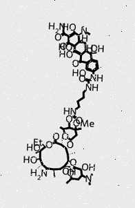 CC[C@H]1OC(=O)[C@H](C)[C@@H](OC2CC(C)(OC)C(OC(=O)NCCCCNC(=O)Nc3ccc4c(c3O)C(=O)C3=C(O)[C@]5(O)C(=O)C(C(N)=O)=C(O)[C@@H](N(C)C)[C@@H]5C[C@@H]3[C@]4(C)O)C(C)O2)[C@H](C)[C@@H](OC2OC(C)CC(N(C)C)C2O)[C@](C)(O)C[C@@H](C)[C@H](N)[C@H](C)[C@@H](O)[C@]1(C)O